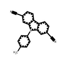 Cc1ccc(-n2c3cc(C#N)ccc3c3ccc(C#N)cc32)cc1